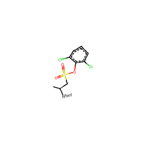 CCCCCC(C)CS(=O)(=O)Oc1c(Cl)cccc1Cl